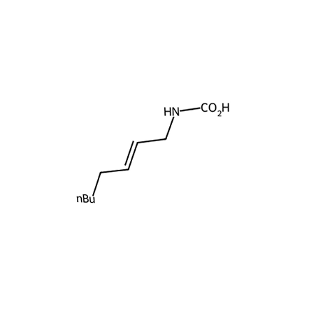 CCCCCC=CCNC(=O)O